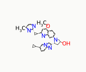 COc1cc([C@H]2C[C@@H]2c2nccc(C)n2)nc2cc(N3C[C@@H](O)C[C@@H]3c3cn4cc(C5CC5)ccc4n3)ccc12